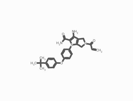 C=CC(=O)N1Cc2c(N)c(C(N)=O)n(-c3ccc(Oc4ccc(C(C)(C)C)cc4)cc3)c2C1